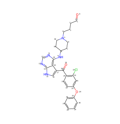 O=CCCCN1CCC(Nc2ncnc3[nH]cc(C(=O)c4ccc(Oc5ccccc5)cc4Cl)c23)CC1